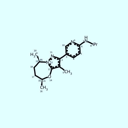 Cc1c(-c2ccc(NC(C)C)nc2)nn2c1O[C@@H](C)CC[C@H]2C